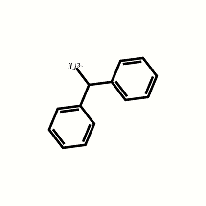 [Li-3][CH](c1ccccc1)c1ccccc1